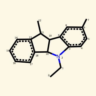 CCN1c2ccc(C)cc2C2C(C)c3ccccc3C21